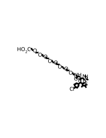 Cc1sc2c(c1C)C(c1ccc(Cl)cc1)=N[C@@H](CC(=O)NCCOCCOCCOCCOCCOCCOCCOCCOCCC(=O)O)c1nnc(C)n1-2